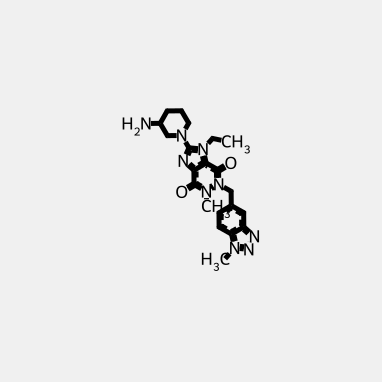 CCn1c(N2CCCC(N)C2)nc2c(=O)n(C)n(Cc3ccc4c(c3)nnn4C)c(=O)c21